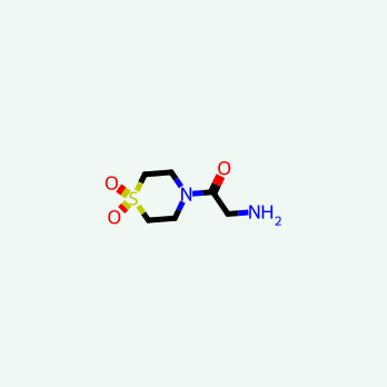 NCC(=O)N1CCS(=O)(=O)CC1